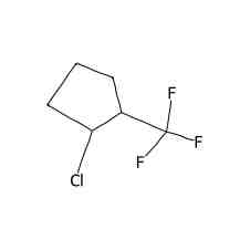 FC(F)(F)C1CCCC1Cl